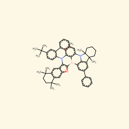 Cc1cc2c3c(c1)N1c4c(cc(-c5ccccc5)cc4C4(C)CCCCC14C)B3c1oc3cc4c(cc3c1N2c1ccc(C(C)(C)C)cc1-c1ccccc1)C(C)(C)CCC4(C)C